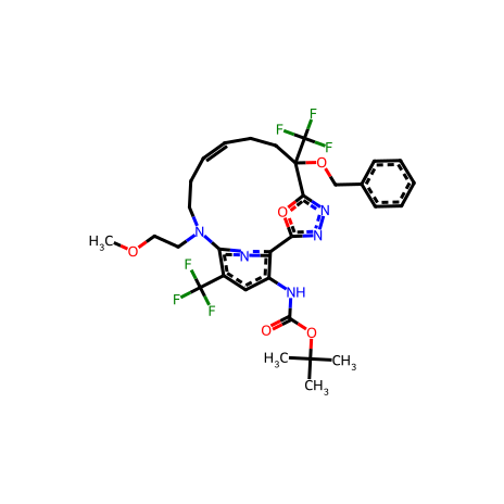 COCCN1CCC=CCCC(OCc2ccccc2)(C(F)(F)F)c2nnc(o2)-c2nc1c(C(F)(F)F)cc2NC(=O)OC(C)(C)C